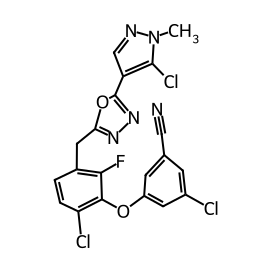 Cn1ncc(-c2nnc(Cc3ccc(Cl)c(Oc4cc(Cl)cc(C#N)c4)c3F)o2)c1Cl